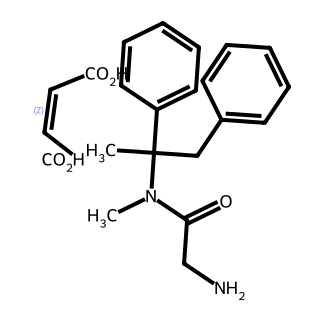 CN(C(=O)CN)C(C)(Cc1ccccc1)c1ccccc1.O=C(O)/C=C\C(=O)O